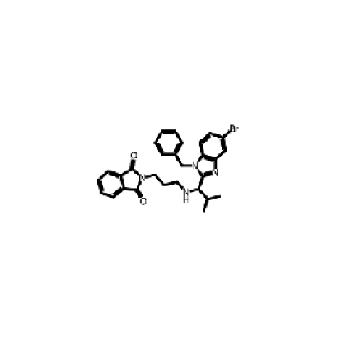 CC(C)C(NCCCN1C(=O)c2ccccc2C1=O)c1nc2cc(Br)ccc2n1Cc1ccccc1